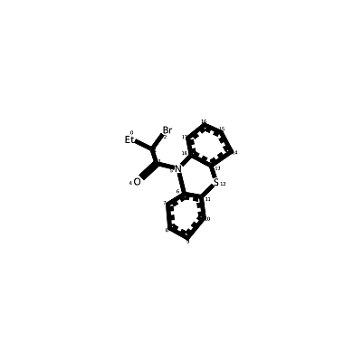 CCC(Br)C(=O)N1c2ccccc2Sc2ccccc21